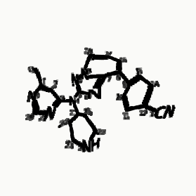 Cc1cc(N(c2nc3c(-c4ccc(C#N)cc4)cccn3n2)C2CCNCC2)ncn1